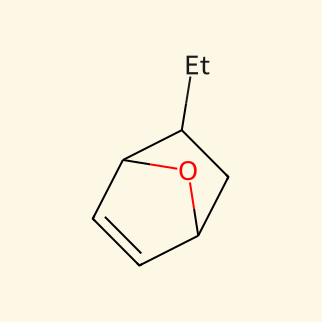 CCC1CC2C=CC1O2